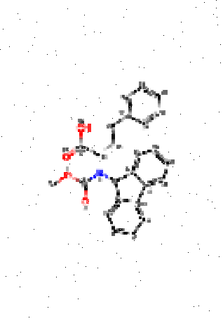 COC(=O)N(C1c2ccccc2-c2ccccc21)[C@@H](CCc1ccccc1)C(=O)O